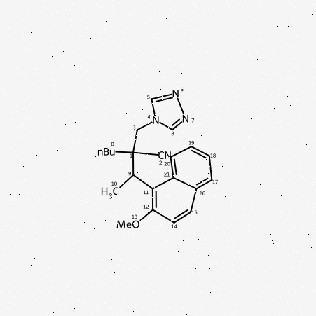 CCCCC(C#N)(Cn1cnnc1)C(C)c1c(OC)ccc2ccccc12